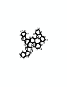 c1ccc2c(c1)ccc1nc(-n3c4cccc5c6cccc7c8ccccc8n(c8cccc3c8c54)c67)c(-c3ccc4c(c3)sc3ccccc34)nc12